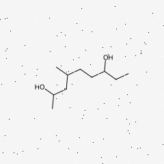 CCC(O)CCC(C)CC(C)O